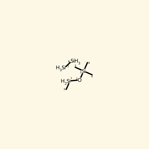 C[SiH2]O[Si](C)(C)C.[SiH3][SiH3]